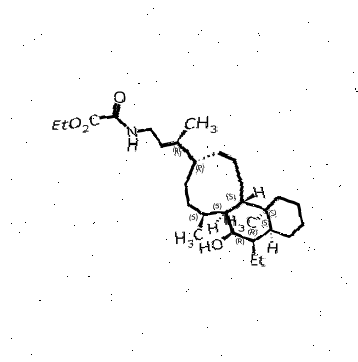 CCOC(=O)C(=O)NCC[C@@H](C)[C@@H]1CCC[C@H]2[C@@H]([C@H](O)[C@H](CC)[C@@H]3CCCC[C@@]32C)[C@@H](C)CC1